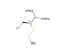 CCCCCCC(CCCCCC)[C@H](CCl)SSC(C)(C)C